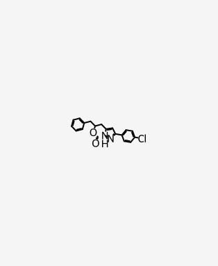 O=COC(Cc1ccccc1)Cc1cc(-c2ccc(Cl)cc2)n[nH]1